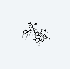 COC1(c2cc(F)c[nH]c2=O)C(=O)N(C)c2cc(NC(=O)[C@@H](NC(=O)c3ccnn3C(C)C)C(C3CC3)C3CC3)ccc21